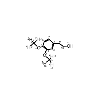 [2H]C([2H])([2H])Oc1ccc(CCO)cc1OC([2H])([2H])[2H]